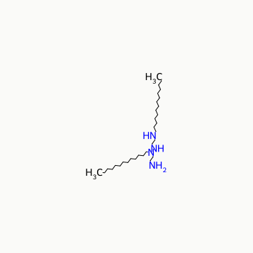 CCCCCCCCCCCCCCNCCNN(CCN)CCCCCCCCCCCCC